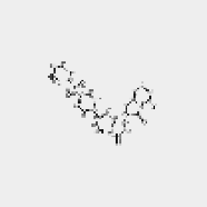 O=C1c2c(Cl)cccc2CN1c1c[nH]c2ncc(-c3ccc(S(=O)(=O)C4CCCNC4)cc3)nc12